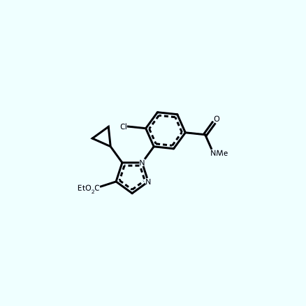 CCOC(=O)c1cnn(-c2cc(C(=O)NC)ccc2Cl)c1C1CC1